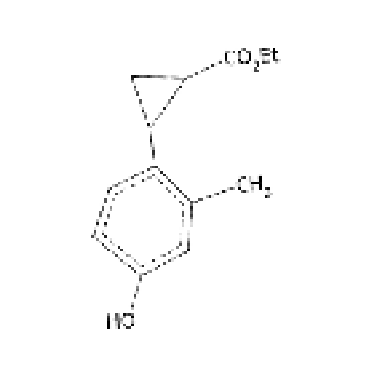 CCOC(=O)C1CC1c1ccc(O)cc1C